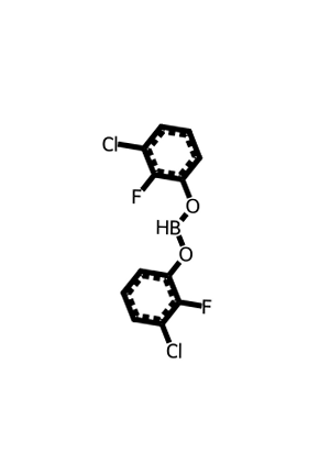 Fc1c(Cl)cccc1OBOc1cccc(Cl)c1F